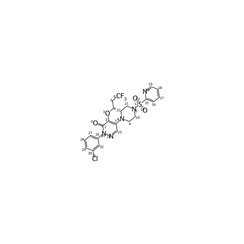 O=c1c(OCCC(F)(F)F)c(N2CCN(S(=O)(=O)c3ccccn3)CC2)cnn1-c1cccc(Cl)c1